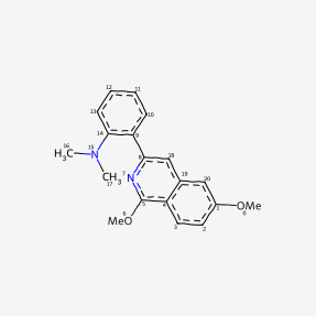 COc1ccc2c(OC)nc(-c3ccccc3N(C)C)cc2c1